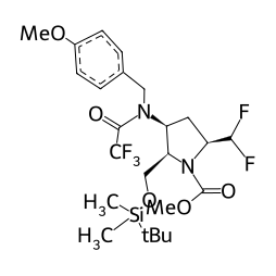 COC(=O)N1[C@H](C(F)F)C[C@H](N(Cc2ccc(OC)cc2)C(=O)C(F)(F)F)[C@@H]1CO[Si](C)(C)C(C)(C)C